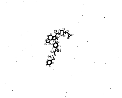 O=C(CNCc1ccccc1)Nc1ccc(-n2nc(C(=O)N3CCN(CC4CC4)CC3)c3c2-c2ccsc2CC3)cc1